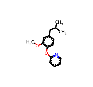 COc1cc(CC(C)C)ccc1Oc1ccccn1